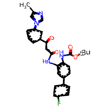 Cc1cn(-c2cccc(C(=O)CC(=O)Nc3cc(-c4ccc(F)cc4)ccc3NC(=O)OC(C)(C)C)c2)cn1